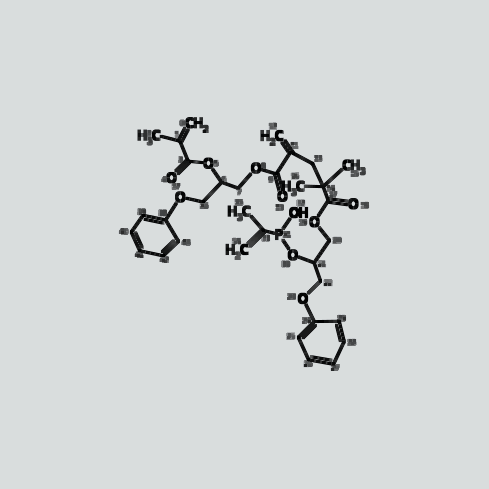 C=C(C)C(=O)OC(COC(=O)C(=C)CC(C)(C)C(=O)OCC(COc1ccccc1)OP(O)C(=C)C)COc1ccccc1